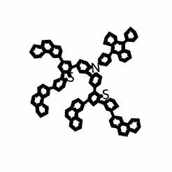 c1ccc(-c2c3ccccc3c(-c3ccc(-n4c5ccc(-c6cc(-c7ccc8ccc9ccccc9c8c7)cc7c6sc6ccc(-c8ccc9ccc%10ccccc%10c9c8)cc67)cc5c5cc(-c6cc(-c7ccc8ccc9ccccc9c8c7)cc7c6sc6ccc(-c8ccc9ccc%10ccccc%10c9c8)cc67)ccc54)cc3)c3ccccc23)cc1